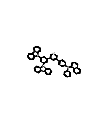 c1ccc(N(c2ccc(-c3cncc(-c4cc(-n5c6ccccc6c6ccccc65)cc(-n5c6ccccc6c6ccccc65)c4)c3)cc2)c2cccc3ccccc23)cc1